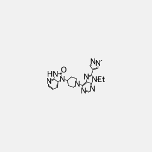 CCn1c(-c2cnn(C)c2)nc2c(N3CCC(n4c(=O)[nH]c5ncccc54)CC3)ncnc21